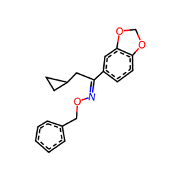 c1ccc(CON=C(CC2CC2)c2ccc3c(c2)OCO3)cc1